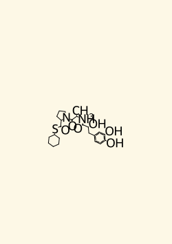 CC(NC(=O)C(O)Cc1ccc(O)c(O)c1)C(=O)N1CCCC1C(=O)SC1CCCCC1